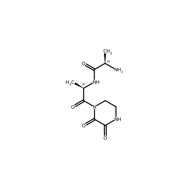 C[C@@H](N)C(=O)N[C@H](C)C(=O)N1CCNC(=O)C1=O